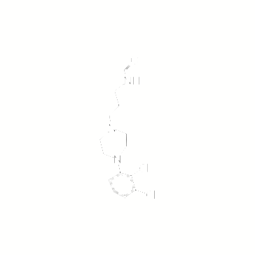 O=CNCCCN1CCN(c2cccc(Cl)c2Cl)CC1